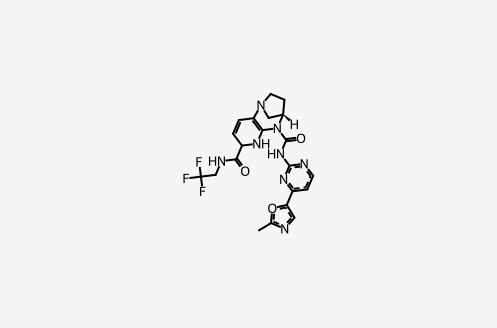 Cc1ncc(-c2ccnc(NC(=O)N3C4=C(C=CC(C(=O)NCC(F)(F)F)N4)N4CC[C@H]3C4)n2)o1